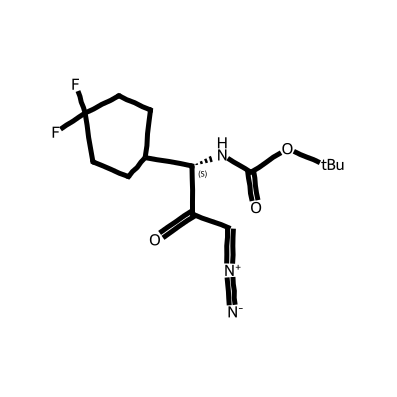 CC(C)(C)OC(=O)N[C@H](C(=O)C=[N+]=[N-])C1CCC(F)(F)CC1